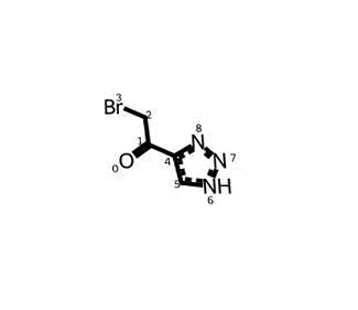 O=C(CBr)c1c[nH]nn1